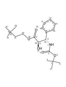 CC(C)(C)OC(=O)N[C@@H](c1ccccc1)[C@@H](O)C(=O)OCC[Si](C)(C)C